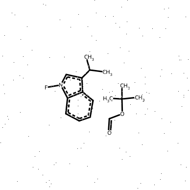 CC(C)(C)OC=O.CC(C)c1cn(F)c2ccccc12